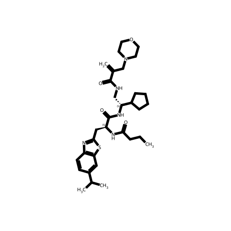 C=C(CN1CCOCC1)C(=O)NC[C@@H](NC(=O)[C@H](Cc1nc2ccc(C(C)C)cc2s1)NC(=O)CCC)C1CCCC1